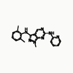 Cc1cccc(C)c1Nc1nn(C)c2nc(Nc3ccccn3)ncc12